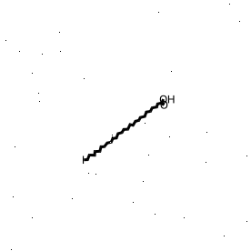 O=C(O)CCCCCCCCCCCCCCCCCCCCCCCCCCI